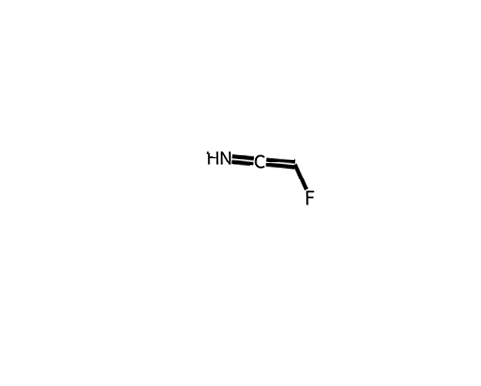 N=C=CF